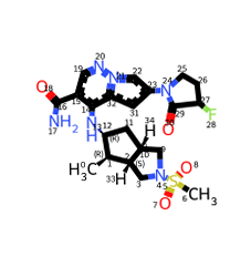 C[C@@H]1[C@H]2CN(S(C)(=O)=O)C[C@H]2C[C@H]1Nc1c(C(N)=O)cnn2cc(N3CCC(F)C3=O)cc12